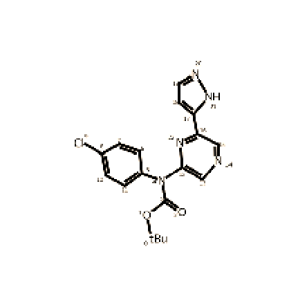 CC(C)(C)OC(=O)N(c1ccc(Cl)cc1)c1cncc(-c2ccn[nH]2)n1